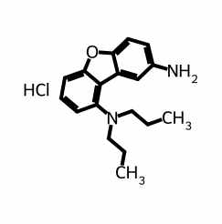 CCCN(CCC)c1cccc2oc3ccc(N)cc3c12.Cl